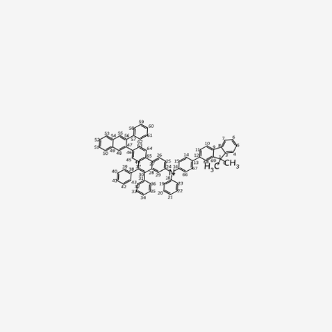 CC1(C)c2ccccc2-c2ccc(-c3ccc(N(c4ccccc4)c4ccc5c(c4)c(-c4ccccc4)c(-c4ccccc4)c4cc(-c6cc7ccccc7cc6-c6ccccc6)ccc45)cc3)cc21